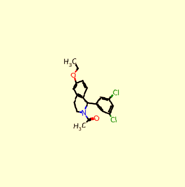 CCOc1ccc2c(c1)CCN(C(C)=O)C2c1cc(Cl)cc(Cl)c1